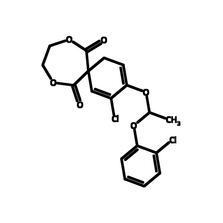 CC(OC1=CCC2(C=C1Cl)C(=O)OCCOC2=O)Oc1ccccc1Cl